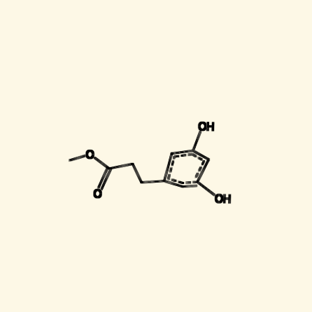 COC(=O)CCc1cc(O)cc(O)c1